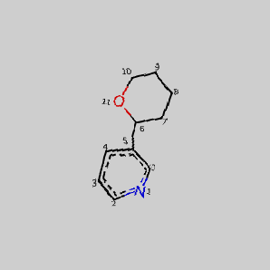 [c]1ncccc1C1CCCCO1